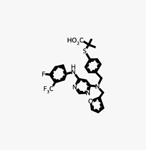 CC(C)(Sc1ccc(CN(Cc2ccco2)c2cc(Nc3ccc(F)c(C(F)(F)F)c3)ncn2)cc1)C(=O)O